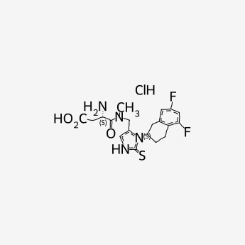 CN(Cc1c[nH]c(=S)n1[C@H]1CCc2c(F)cc(F)cc2C1)C(=O)[C@@H](N)CC(=O)O.Cl